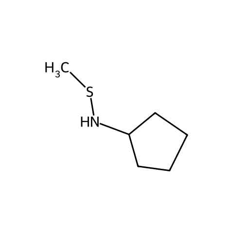 CSNC1CCCC1